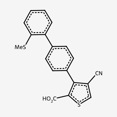 CSc1ccccc1-c1ccc(-c2c(C#N)csc2C(=O)O)cc1